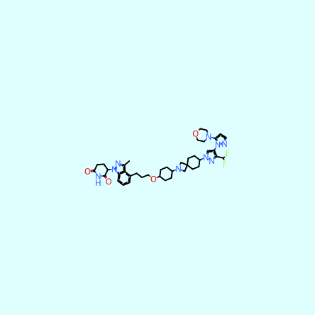 Cc1nn(C2CCC(=O)NC2=O)c2cccc(CCCOC3CCC(N4CC5(CCC(n6cc(-n7nccc7N7CCOCC7)c(C(F)F)n6)CC5)C4)CC3)c12